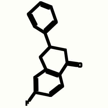 O=C1CC(c2ccccc2)Cc2cc(F)ccc21